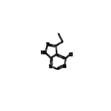 CCc1n[nH]c2ncnc(Cl)c12